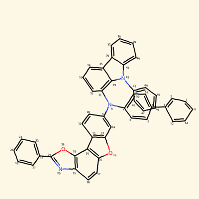 c1ccc(-c2ccc(N(c3ccc4c(c3)oc3ccc5nc(-c6ccccc6)oc5c34)c3cccc4c5ccccc5n(-c5ccccc5)c34)cc2)cc1